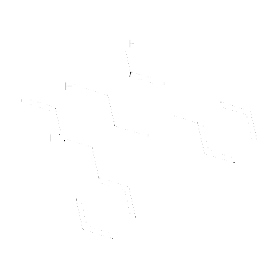 O=CNC(c1ccccc1)C(OCc1ccccc1)C(O)C(=O)O